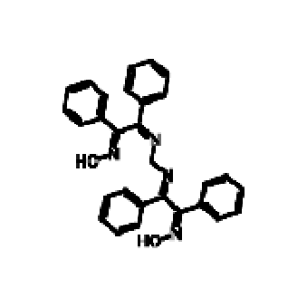 ON=C(C(=NCN=C(C(=NO)c1ccccc1)c1ccccc1)c1ccccc1)c1ccccc1